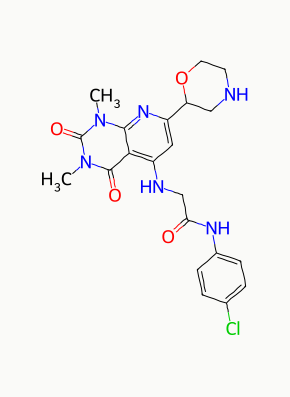 Cn1c(=O)c2c(NCC(=O)Nc3ccc(Cl)cc3)cc(C3CNCCO3)nc2n(C)c1=O